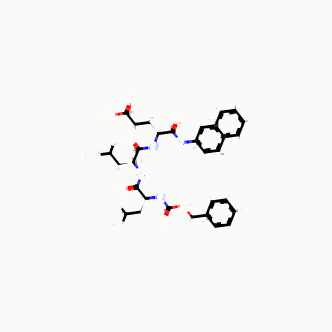 CC(C)C[C@H](NC(=O)OCc1ccccc1)C(=O)N[C@@H](CC(C)C)C(=O)N[C@@H](CCC(=O)O)C(=O)Nc1ccc2ccccc2c1